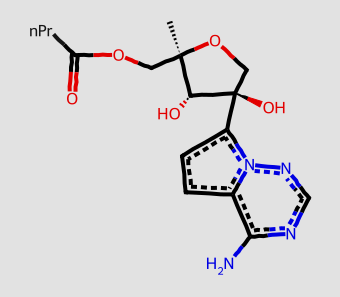 CCCC(=O)OC[C@@]1(C)OC[C@](O)(c2ccc3c(N)ncnn23)[C@@H]1O